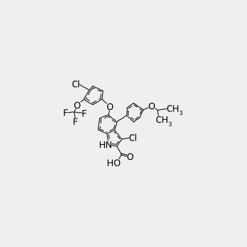 CC(C)Oc1ccc(-c2c(Oc3ccc(Cl)c(OC(F)(F)F)c3)ccc3[nH]c(C(=O)O)c(Cl)c23)cc1